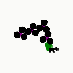 [Cl-].[Cl-].[Cl-].[Cl-].[Pt+4].c1ccc(P(c2ccccc2)c2ccccc2)cc1.c1ccc(P(c2ccccc2)c2ccccc2)cc1.c1ccc(P(c2ccccc2)c2ccccc2)cc1.c1ccc(P(c2ccccc2)c2ccccc2)cc1